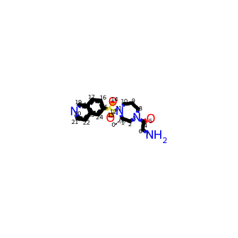 C[C@H]1CN(C(=O)CN)CCCN1S(=O)(=O)c1ccc2cnccc2c1